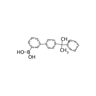 CC(C)(c1ccccc1)c1ccc(-c2cccc(B(O)O)c2)cc1